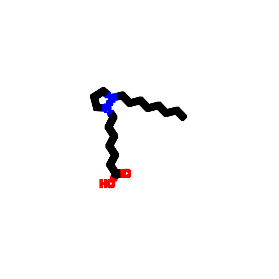 CCCCCCCCN1CCCN1CCCCCCC(=O)O